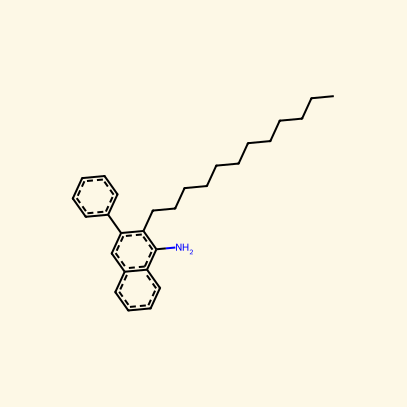 CCCCCCCCCCCCc1c(-c2ccccc2)cc2ccccc2c1N